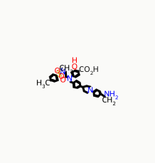 C=C(N)c1ccc(N2CCC(c3ccc(CN(C(=O)CN(C)S(=O)(=O)c4ccc(C)cc4)c4ccc(C(=O)O)c(O)c4)cc3)CC2)cc1